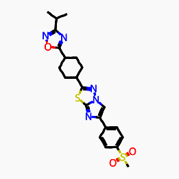 CC(C)c1noc(C2CCC(c3nn4cc(-c5ccc(S(C)(=O)=O)cc5)nc4s3)CC2)n1